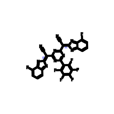 N#C/C(=C1/N=c2cccc(F)c2=N1)c1nc(/C(C#N)=C2\N=c3cccc(F)c3=N2)nc(-c2c(F)c(F)c(F)c(F)c2F)n1